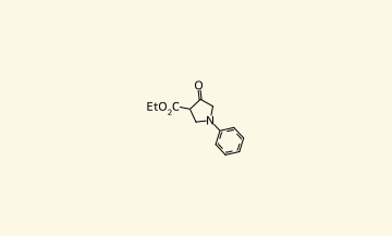 CCOC(=O)C1CN(c2ccccc2)CC1=O